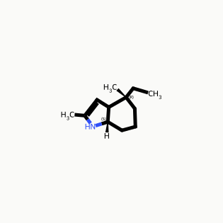 CC[C@]1(C)CCC[C@@H]2NC(C)=CC21